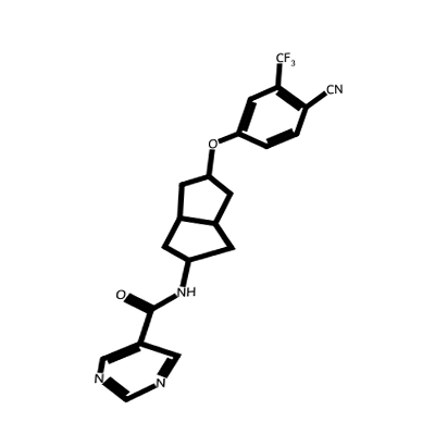 N#Cc1ccc(OC2CC3CC(NC(=O)c4cncnc4)CC3C2)cc1C(F)(F)F